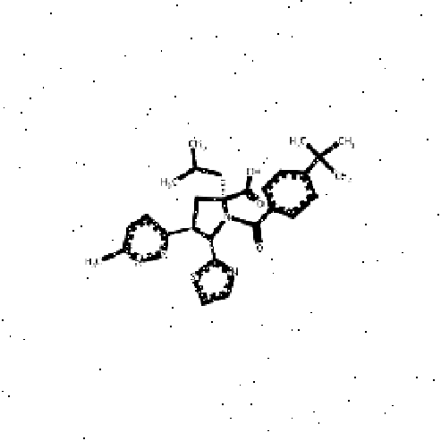 Cc1ccc([C@H]2C[C@@](CC(C)C)(C(=O)O)N(C(=O)c3ccc(C(C)(C)C)cc3)[C@H]2c2nccs2)nn1